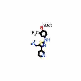 CCCCCCCCOc1ccc(Nc2nc(-c3cccnc3)c(CN(C)C)s2)cc1C(F)(F)F